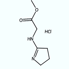 COC(=O)CNC1=NCCC1.Cl